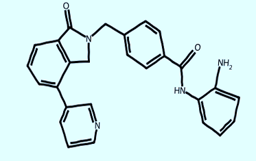 Nc1ccccc1NC(=O)c1ccc(CN2Cc3c(cccc3-c3cccnc3)C2=O)cc1